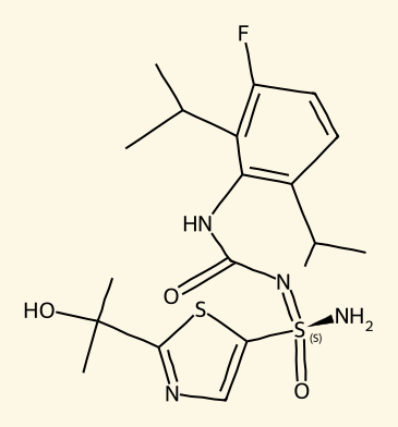 CC(C)c1ccc(F)c(C(C)C)c1NC(=O)N=[S@](N)(=O)c1cnc(C(C)(C)O)s1